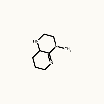 CN1CCNC2CCCN=C21